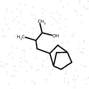 CC(O)C(C)CC1CC2CCC1C2